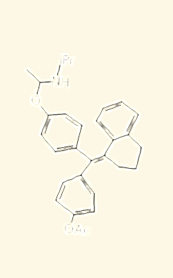 CC(=O)Oc1ccc(C(=C2CCCc3ccccc32)c2ccc(OC(C)NC(C)C)cc2)cc1